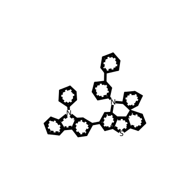 c1ccc(-c2cccc(N(c3ccccc3)c3cc(-c4ccc5c6ccccc6n(-c6ccccc6)c5c4)cc4sc5ccccc5c34)c2)cc1